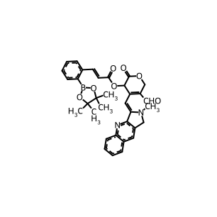 CN1Cc2cc3ccccc3nc2/C1=C/C1=C(C=O)COC(=O)C1OC(=O)/C=C/c1ccccc1B1OC(C)(C)C(C)(C)O1